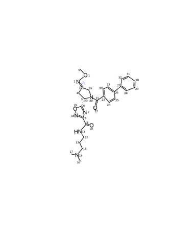 CO/N=C1/C[C@@H](c2nc(C(=O)NCCCN(C)C)no2)N(C(=O)c2ccc(-c3ccccc3)cc2)C1